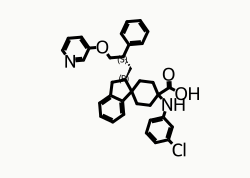 O=C(O)C1(Nc2cccc(Cl)c2)CCC2(CC1)c1ccccc1C[C@H]2C[C@H](COc1cccnc1)c1ccccc1